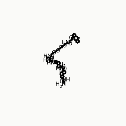 C/C1=C/c2ccccc2N(C(=O)CCC(=O)NCCOCCOCCOCCOCCC(=O)N[C@H](C(=O)N[C@@H](C)C(=O)Nc2ccc3c(c2)[C@@]2(C)CCC[C@](C)(C(=O)NC(=O)[C@@]4(C)CCC[C@]5(C)c6cc(NC(=O)CN)ccc6CC[C@@H]45)[C@@H]2CC3)C(C)C)Cc2ccccc21